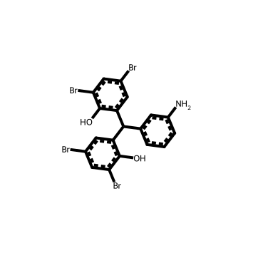 Nc1cccc(C(c2cc(Br)cc(Br)c2O)c2cc(Br)cc(Br)c2O)c1